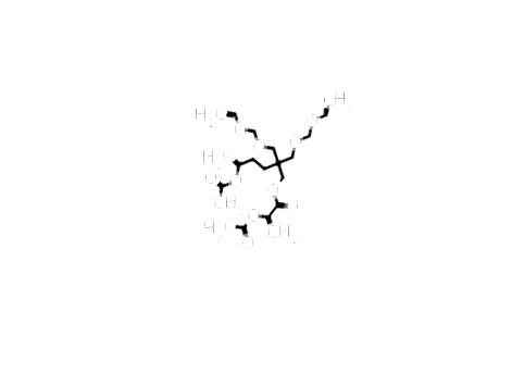 C=COCOCC(CCC(=C)OC(C)=O)(COCOC=C)COC(=O)C(=C)OC(C)=O